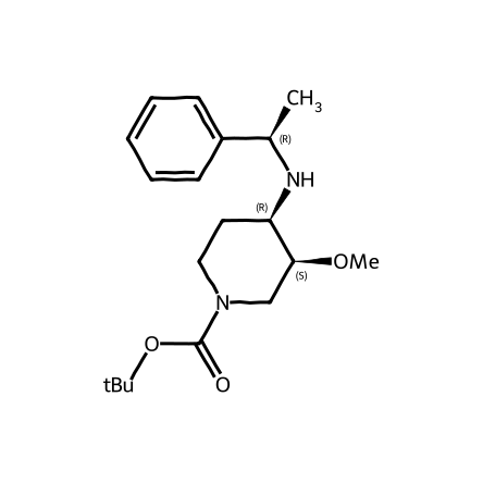 CO[C@H]1CN(C(=O)OC(C)(C)C)CC[C@H]1N[C@H](C)c1ccccc1